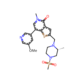 COc1cncc(-c2cn(C)c(=O)c3cc(CN4CCN(S(C)(=O)=O)C[C@H]4C)sc23)c1